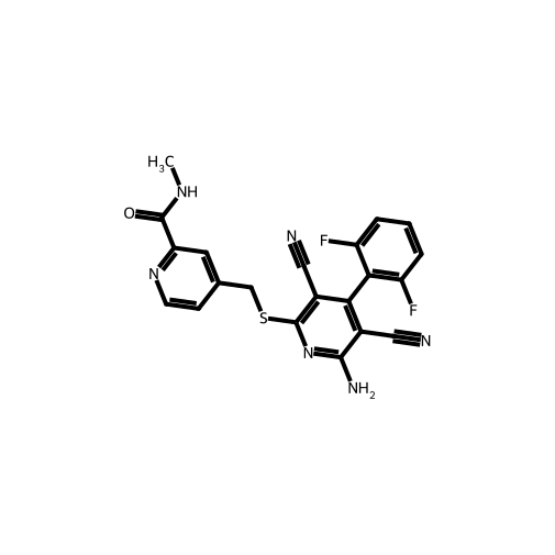 CNC(=O)c1cc(CSc2nc(N)c(C#N)c(-c3c(F)cccc3F)c2C#N)ccn1